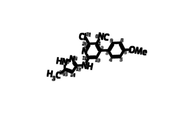 [C-]#[N+]c1c(-c2ccc(OC)cc2)cc(Nc2cc(C)[nH]n2)nc1Cl